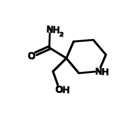 NC(=O)C1(CO)CCCNC1